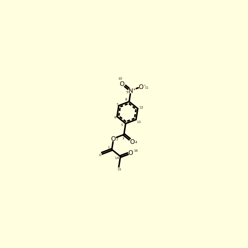 C=C(OC(=O)c1ccc([N+](=O)[O-])cc1)C(C)=O